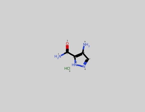 Cl.NC(=O)c1[nH]ncc1N